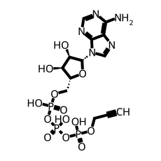 C#CCOP(=O)(O)OP(=O)(O)OP(=O)(O)OC[C@H]1O[C@@H](n2cnc3c(N)ncnc32)[C@H](O)[C@@H]1O